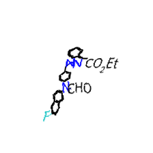 CCOC(=O)Cc1nn(Cc2ccc(N(C=O)c3ccc4cc(F)ccc4c3)cc2)c2ccccc12